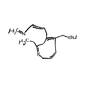 C=N/C=C\c1c(CC(C)(C)C)ccnc1C